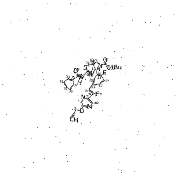 C#CCOc1cnc(/C(F)=C/c2ccc(F)c([C@]34CN(C(=O)OC(C)(C)C)C[C@H]3CSC(NC(=O)c3ccccc3)=N4)c2)cn1